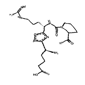 N=C(N)NCCC[C@H](NC(=O)N1CCCC1C(=O)O)c1nc([C@@H](N)CCCC(=O)O)no1